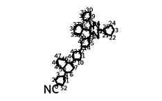 N#Cc1ccc(C2CC=C(C3=CCC(C4=CC=C(c5nc(C6=CCCCC6)nc(C6C=CC=CC6)c5-c5ccccc5)CC4)CC3)C3C=CC=CC32)cc1